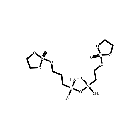 C[Si](C)(CCCOP1(=O)OCCO1)O[Si](C)(C)CCOP1(=O)OCCO1